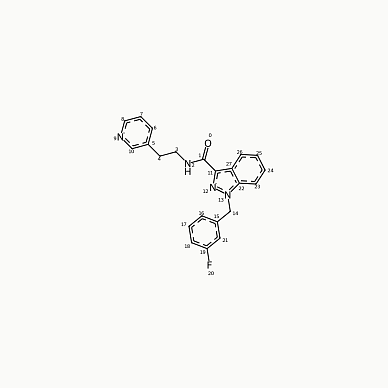 O=C(NCCc1cccnc1)c1nn(Cc2cccc(F)c2)c2ccccc12